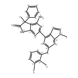 Cn1ccc2c(-c3nc(N)c4c(n3)NC(=O)C4(C)c3ccccc3)nc(Cc3cccc(F)c3F)nc21